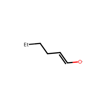 CCCCC=C[O]